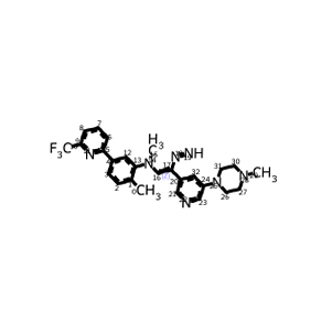 Cc1ccc(-c2cccc(C(F)(F)F)n2)cc1N(C)/C=C(\N=N)c1cncc(N2CCN(C)CC2)c1